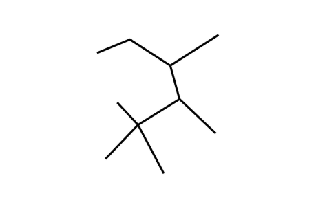 CCC(C)C(C)C(C)(C)C